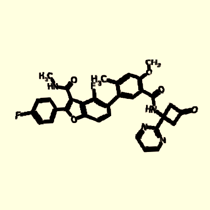 CNC(=O)c1c(-c2ccc(F)cc2)oc2ccc(-c3cc(C(=O)NC4(c5ncccn5)CC(=O)C4)c(OC)cc3C)c(F)c12